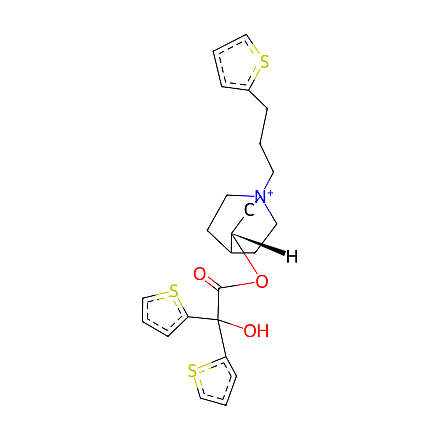 O=C(O[C@H]1C[N+]2(CCCc3cccs3)CCC1CC2)C(O)(c1cccs1)c1cccs1